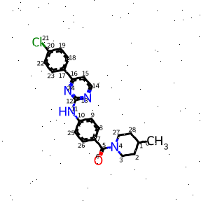 CC1CCN(C(=O)c2ccc(Nc3nccc(-c4ccc(Cl)cc4)n3)cc2)CC1